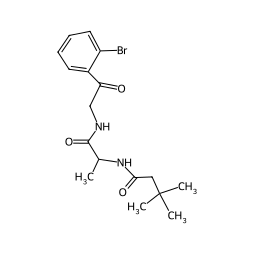 CC(NC(=O)CC(C)(C)C)C(=O)NCC(=O)c1ccccc1Br